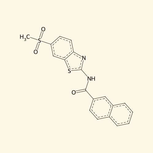 CS(=O)(=O)c1ccc2nc(NC(=O)c3ccc4ccccc4c3)sc2c1